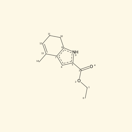 CCOC(=O)c1cc2c([nH]1)CCC=C2C